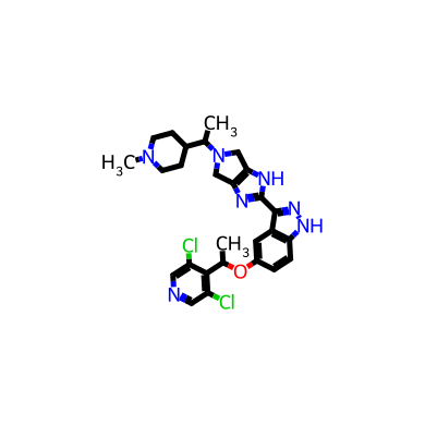 CC(Oc1ccc2[nH]nc(-c3nc4c([nH]3)CN(C(C)C3CCN(C)CC3)C4)c2c1)c1c(Cl)cncc1Cl